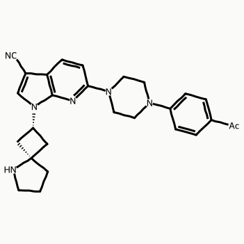 CC(=O)c1ccc(N2CCN(c3ccc4c(C#N)cn([C@H]5C[C@@]6(CCCN6)C5)c4n3)CC2)cc1